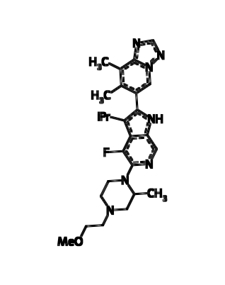 COCCN1CCN(c2ncc3[nH]c(-c4cn5ncnc5c(C)c4C)c(C(C)C)c3c2F)C(C)C1